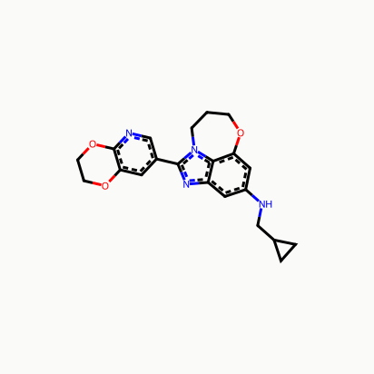 c1nc2c(cc1-c1nc3cc(NCC4CC4)cc4c3n1CCCO4)OCCO2